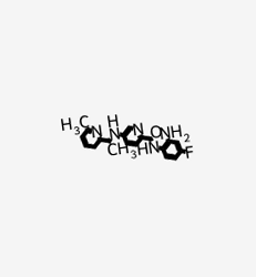 CC1=NC([C@@H](C)Nc2ccc(C(=O)Nc3ccc(F)cc3N)nc2)CC=C1